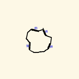 [C]1=C/C/C=C\CCC/C=C/CC/C=C/1